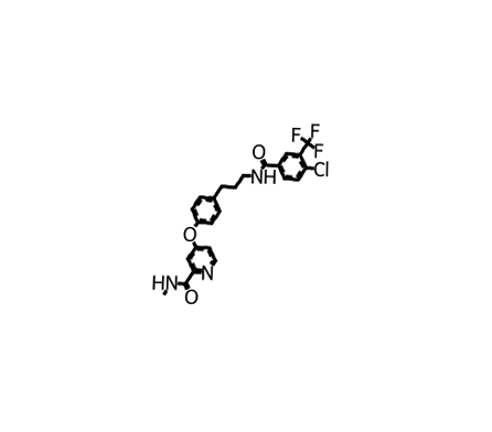 CNC(=O)c1cc(Oc2ccc(CCCNC(=O)c3ccc(Cl)c(C(F)(F)F)c3)cc2)ccn1